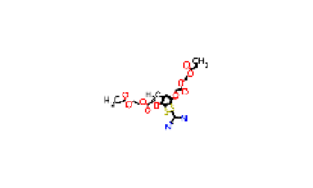 C=CC(=O)OCCOC(=O)COc1cc(C)c(OCC(=O)OCCOC(=O)C=C)c2c1SC(=C(C#N)C#N)S2